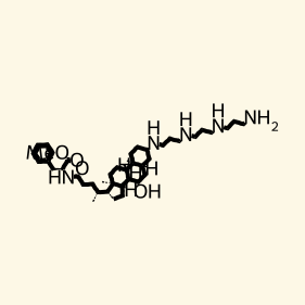 COC(=O)[C@H](Cc1ccccc1)NC(=O)CC[C@@H](C)[C@H]1CC[C@H]2[C@@H]3[C@H](O)C[C@@H]4C[C@@H](NCCCNCCCNCCCN)CC[C@]4(C)[C@H]3CC[C@]12C